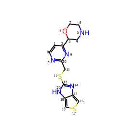 c1cc(C2CNCCO2)nc(CSc2nc3cscc3[nH]2)n1